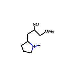 COCC(CC1CCCN1C)N=O